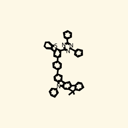 CC1(C)c2ccccc2-c2cc3c4cc(-c5ccc(-c6cc(-c7nc(-c8ccccc8)nc(-c8ccccc8)n7)c7sc8c(c7c6)=CCCC=8)cc5)ccc4n(-c4ccccc4)c3cc21